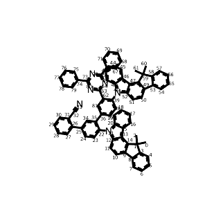 CC1(C)c2ccccc2-c2ccc3c(c21)c1ccccc1n3-c1ccc(-c2ccccc2C#N)cc1-c1ccc(-n2c3ccccc3c3c4c(ccc32)-c2ccccc2C4(C)C)c(-c2nc(-c3ccccc3)nc(-c3ccccc3)n2)c1